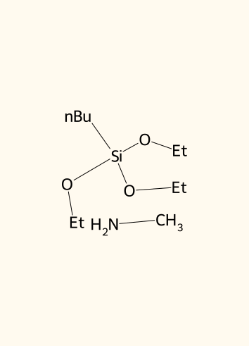 CCCC[Si](OCC)(OCC)OCC.CN